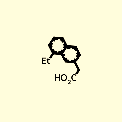 CCc1cccc2ccc(CC(=O)O)cc12